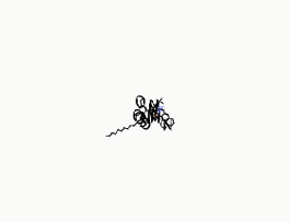 CCCCCCCCCCCCS(=O)(=O)Nc1c(OC)cc(OC)cc1-c1nnc2/c(=C\c3cc4c5c(c3C)CCCN5CCC4)c(C(C)(C)C)nn12